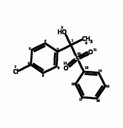 CC(O)(c1ccc(Cl)cc1)S(=O)(=O)c1ccccc1